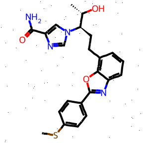 CSc1ccc(-c2nc3cccc(CC[C@H]([C@H](C)O)n4cnc(C(N)=O)c4)c3o2)cc1